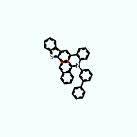 c1ccc(-c2cccc(N(c3ccccc3-c3ccc4sc5ccccc5c4c3)c3cccc4ccccc34)c2)cc1